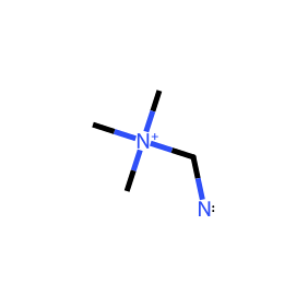 C[N+](C)(C)C[N]